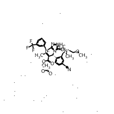 COCC[N+](C)(C)Cc1cc(C#N)ccc1[C@@H]1C(C(=O)OC)=C(C)N(c2cccc(C(F)(F)F)c2)c2n[nH]c(=O)n21.O=C[O-]